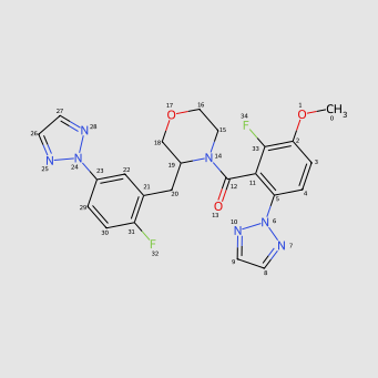 COc1ccc(-n2nccn2)c(C(=O)N2CCOCC2Cc2cc(-n3nccn3)ccc2F)c1F